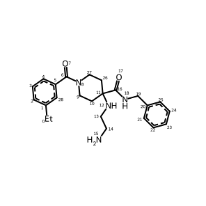 CCc1cccc(C(=O)N2CCC(NCCN)(C(=O)NCc3ccccc3)CC2)c1